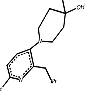 CCc1ccc(N2CCC(C)(O)CC2)c(CC(C)C)n1